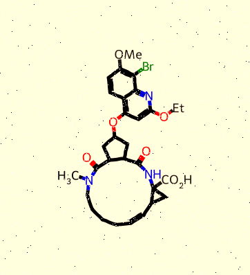 CCOc1cc(OC2CC3C(=O)NC4(C(=O)O)CC4C=CCCCCN(C)C(=O)C3C2)c2ccc(OC)c(Br)c2n1